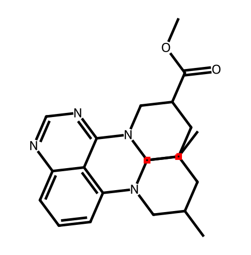 COC(=O)C1CCCN(c2ncnc3cccc(N4CC(C)CC(C)C4)c23)C1